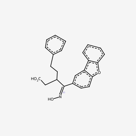 O=C(O)CC(CCc1ccccc1)/C(=N\O)c1ccc2oc3ccccc3c2c1